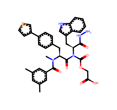 Cc1cc(C)cc(C(=O)N(C)[C@@H](Cc2ccc(-c3ccsc3)cc2)C(=O)N(C(=O)OCC(=O)O)[C@@H](Cc2c[nH]c3ccccc23)C(=O)NN)c1